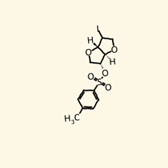 Cc1ccc(S(=O)(=O)O[C@@H]2CO[C@@H]3C(I)CO[C@H]32)cc1